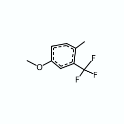 COc1ccc(C)c(C(F)(F)F)c1